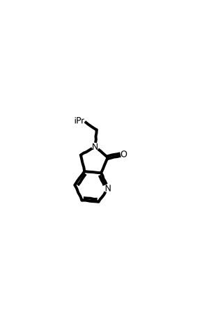 CC(C)CN1Cc2cccnc2C1=O